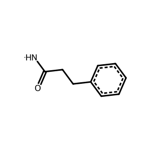 [NH]C(=O)CCc1ccccc1